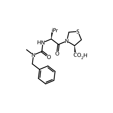 CC(C)[C@H](NC(=O)N(C)Cc1ccccc1)C(=O)N1CSC[C@H]1C(=O)O